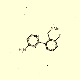 CNCc1c(F)cccc1-c1nccc(N)n1